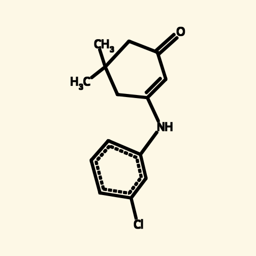 CC1(C)CC(=O)C=C(Nc2cccc(Cl)c2)C1